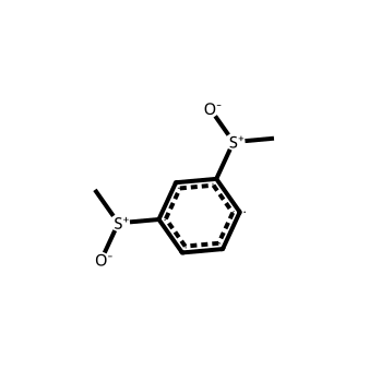 C[S+]([O-])c1[c]ccc([S+](C)[O-])c1